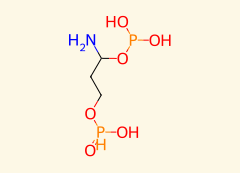 NC(CCO[PH](=O)O)OP(O)O